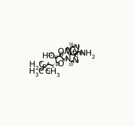 C=P(C)(C)CC[C@H]1O[C@@H](n2cnc3c(N)ncnc32)[C@H](OC)[C@@H]1O